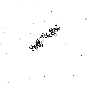 CN(CCCN1CCN2c3cc(-c4ccccc4O)nnc3NC[C@H]2C1)CC1CCN(c2ccc3c(c2)C(=O)N(C2CCC(=O)NC2O)C3=O)CC1